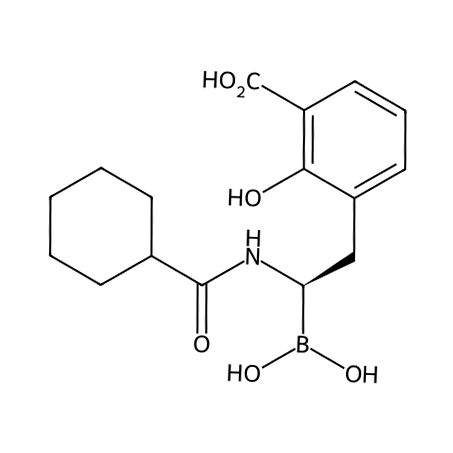 O=C(O)c1cccc(C[C@H](NC(=O)C2CCCCC2)B(O)O)c1O